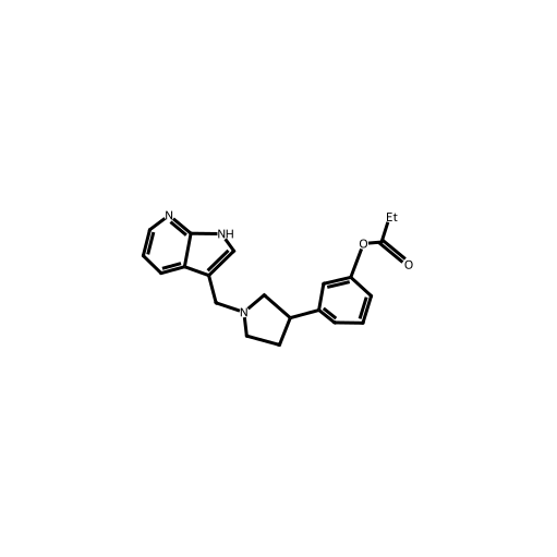 CCC(=O)Oc1cccc(C2CCN(Cc3c[nH]c4ncccc34)C2)c1